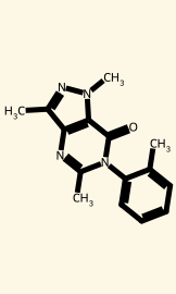 Cc1ccccc1-n1c(C)nc2c(C)nn(C)c2c1=O